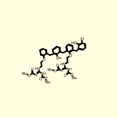 CCc1cccc(Cc2cccc(Cc3cccc(Cc4ccccc4OCCN/C(=N\C(=O)OC(C)(C)C)NC(=O)OC(C)(C)C)c3O)c2OCCN/C(=N\C(=O)OC(C)(C)C)NC(=O)OC(C)(C)C)c1O